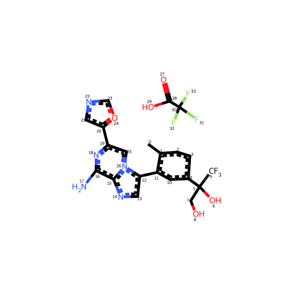 Cc1ccc(C(O)(CO)C(F)(F)F)cc1-c1cnc2c(N)nc(-c3cnco3)cn12.O=C(O)C(F)(F)F